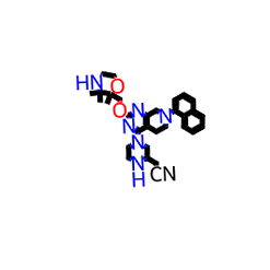 CC1(C)NCCOC1(C)COc1nc2c(c(N3CCNC(CC#N)C3)n1)CCN(c1cccc3ccccc13)C2